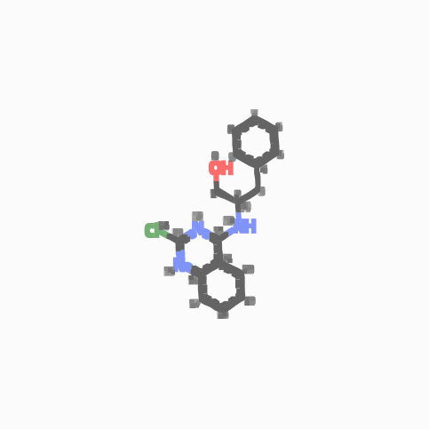 OC[C@@H](Cc1ccccc1)Nc1nc(Cl)nc2ccccc12